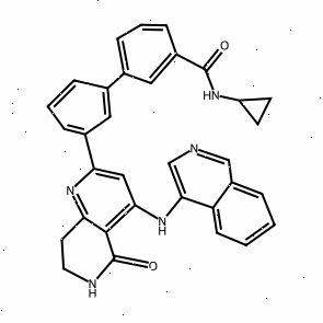 O=C(NC1CC1)c1cccc(-c2cccc(-c3cc(Nc4cncc5ccccc45)c4c(n3)CCNC4=O)c2)c1